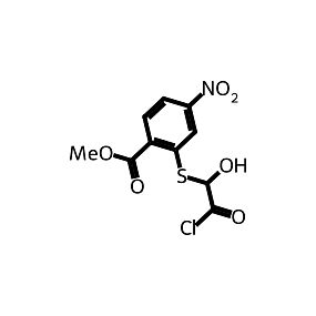 COC(=O)c1ccc([N+](=O)[O-])cc1SC(O)C(=O)Cl